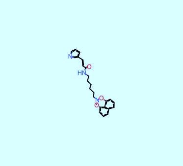 O=C(C=Cc1cccnc1)NCCCCCCN1Oc2cccc3cccc(c23)O1